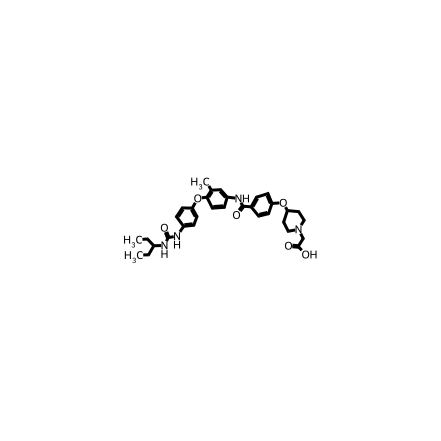 CCC(CC)NC(=O)Nc1ccc(Oc2ccc(NC(=O)c3ccc(OC4CCN(CC(=O)O)CC4)cc3)cc2C)cc1